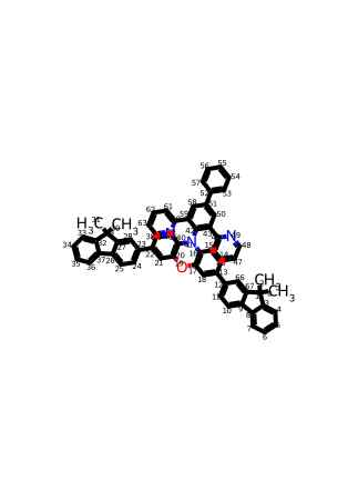 CC1(C)c2ccccc2-c2ccc(-c3ccc4c(c3)Oc3cc(-c5ccc6c(c5)C(C)(C)c5ccccc5-6)ccc3N4c3c(-c4ccccn4)cc(-c4ccccc4)cc3-c3ccccn3)cc21